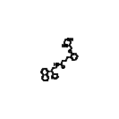 O=C(CCCc1ccccc1OCC1CNCCN1)NCCC(c1cccs1)c1cccc2ccccc12